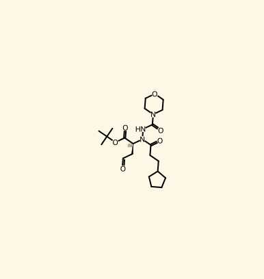 CC(C)(C)OC(=O)[C@H](CC=O)N(NC(=O)N1CCOCC1)C(=O)CCC1CCCC1